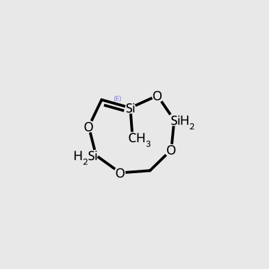 C/[Si]1=C\O[SiH2]OCO[SiH2]O1